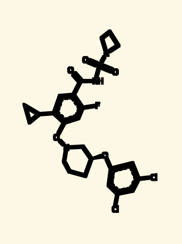 O=C(NS(=O)(=O)N1CCC1)c1cc(C2CC2)c(ON2CCC[C@H](Oc3cc(Cl)cc(Cl)c3)C2)cc1F